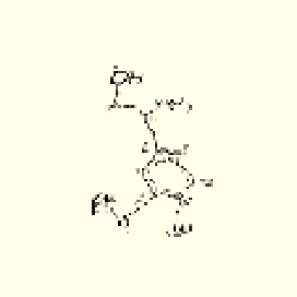 CCOc1cc([C](C)CO)ccc1C(C)(C)C